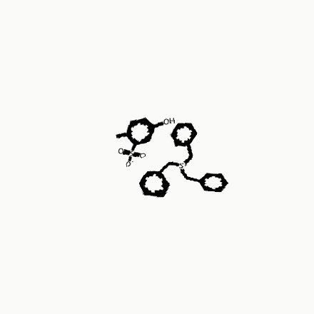 Cc1ccc(O)cc1S(=O)(=O)[O-].c1ccc(C[S+](Cc2ccccc2)Cc2ccccc2)cc1